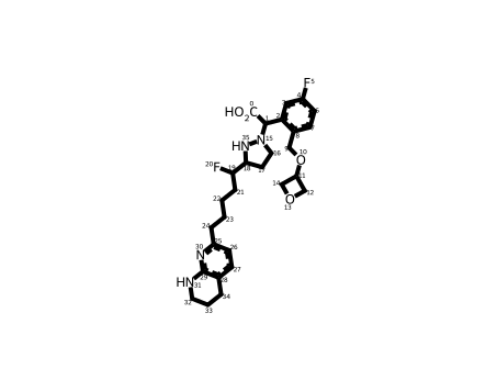 O=C(O)C(c1cc(F)ccc1COC1COC1)N1CCC(C(F)CCCCc2ccc3c(n2)NCCC3)N1